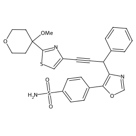 COC1(c2nc(C#CC(c3ccccc3)c3ncoc3-c3ccc(S(N)(=O)=O)cc3)cs2)CCOCC1